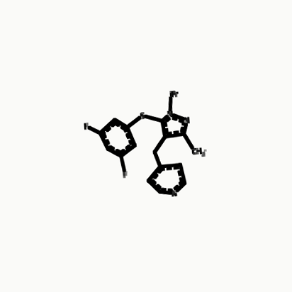 [CH2]c1nn(C(C)C)c(Sc2cc(F)cc(F)c2)c1Cc1ccncc1